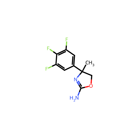 CC1(c2cc(F)c(F)c(F)c2)COC(N)=N1